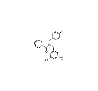 O=C(c1ccccc1)N(Cc1ccc(F)cc1)Cc1cc(Cl)cc(Cl)c1